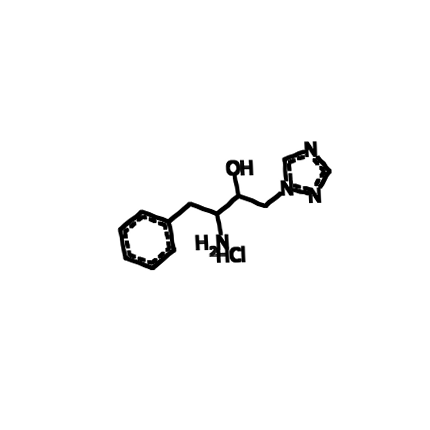 Cl.NC(Cc1ccccc1)C(O)Cn1cncn1